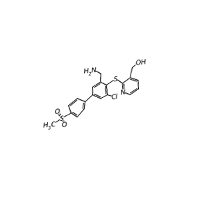 CS(=O)(=O)c1ccc(-c2cc(Cl)c(Sc3ncccc3CO)c(CN)c2)cc1